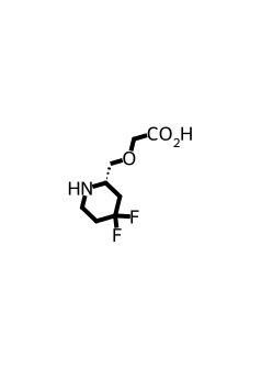 O=C(O)COC[C@@H]1CC(F)(F)CCN1